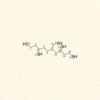 SCCC(S)CCC(CS)CC(S)CCS